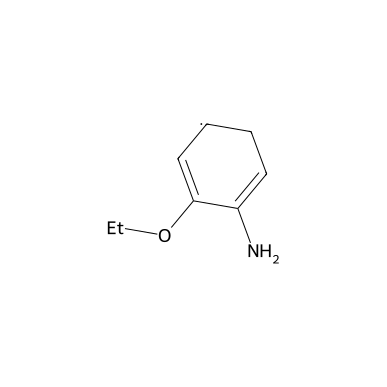 CCOC1=C[CH]CC=C1N